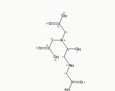 O=C(O)CNCC(O)N(CC(=O)O)CC(=O)O